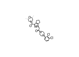 C[C@@H]1CN(C(=O)c2nn(CC(=O)N3CCN(c4cccc(Cl)c4Cl)CC3)c3c2CCC3)C[C@H](C)O1